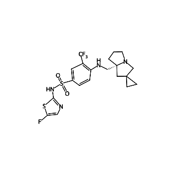 O=S(=O)(Nc1ncc(F)s1)c1ccc(NC[C@]23CCCN2CC2(CC2)C3)c(C(F)(F)F)c1